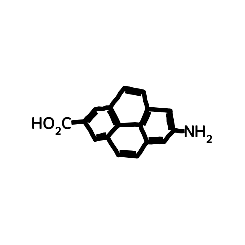 Nc1cc2ccc3cc(C(=O)O)cc4ccc(c1)c2c34